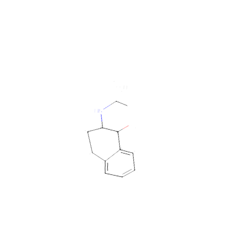 C[C@H](NC1CCc2ccccc2C1O)C(=O)O